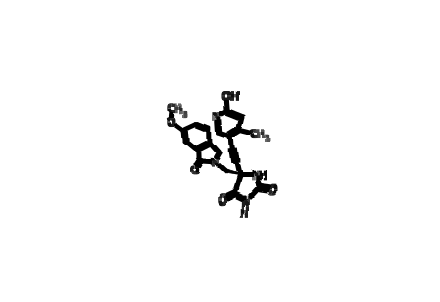 COc1ccc2c(c1)C(=O)N(C[C@@]1(C#Cc3cnc(O)cc3C)NC(=O)NC1=O)C2